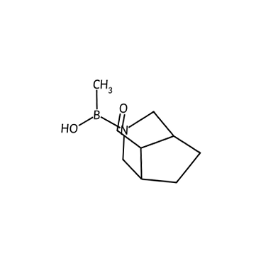 CB(O)N1CC2CCC(C1)C2C=O